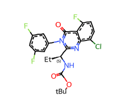 CC[C@H](NC(=O)OC(C)(C)C)c1nc2c(Cl)ccc(F)c2c(=O)n1-c1cc(F)cc(F)c1